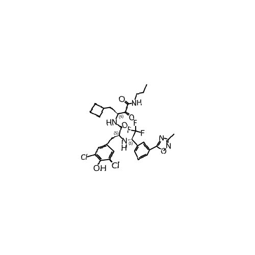 CCCNC(=O)C(=O)[C@H](CC1CCC1)NC(=O)[C@H](Cc1cc(Cl)c(O)c(Cl)c1)N[C@@H](c1cccc(-c2nc(C)no2)c1)C(F)(F)F